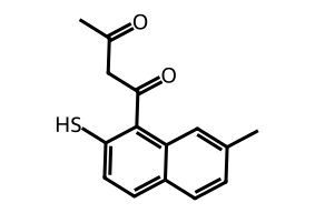 CC(=O)CC(=O)c1c(S)ccc2ccc(C)cc12